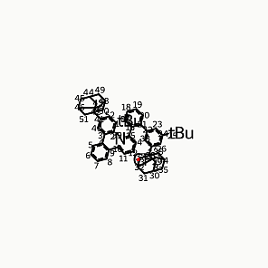 CC(C)(C)c1cc(-c2ccccc2-c2cc(C(F)(F)F)cc(-c3ccccc3-c3cc(C(C)(C)C)cc(C45CC6CC(CC(C6)C4)C5)c3)n2)cc(C23CC4CC(CC(C4)C2)C3)c1